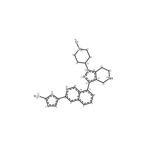 Cc1ncc(-c2cc3cccc(-c4nn(C5CC[S+]([O-])CC5)c5c4CNCC5)c3cn2)s1